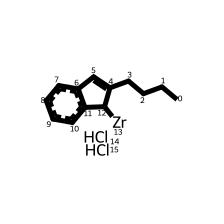 CCCCC1=Cc2ccccc2[CH]1[Zr].Cl.Cl